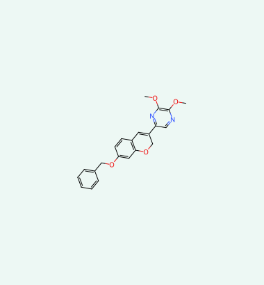 COc1ncc(C2=Cc3ccc(OCc4ccccc4)cc3OC2)nc1OC